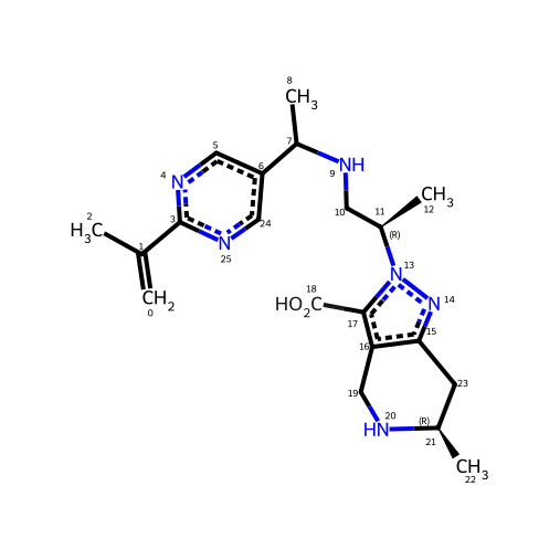 C=C(C)c1ncc(C(C)NC[C@@H](C)n2nc3c(c2C(=O)O)CN[C@H](C)C3)cn1